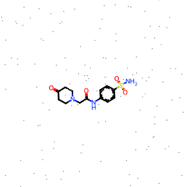 NS(=O)(=O)c1ccc(NC(=O)CN2CCC(=O)CC2)cc1